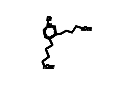 CCCCCCCCCCCCCCc1cc[n+](CC)cc1CCCCCCCCCCCCCC